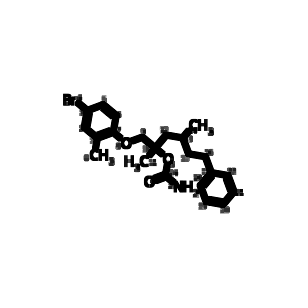 Cc1cc(Br)ccc1OCC(C)(CC(C)CCc1ccccc1)OC(N)=O